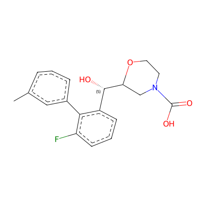 Cc1cccc(-c2c(F)cccc2[C@H](O)C2CN(C(=O)O)CCO2)c1